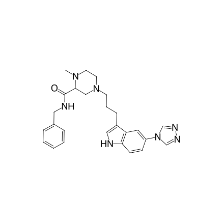 CN1CCN(CCCc2c[nH]c3ccc(-n4cnnc4)cc23)CC1C(=O)NCc1ccccc1